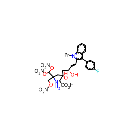 CC(C)n1c(/C=C/[C@H](O)C[C@](O)(CC(=O)O)CC(N)(CO[N+](=O)[O-])C(O[N+](=O)[O-])O[N+](=O)[O-])c(-c2ccc(F)cc2)c2ccccc21